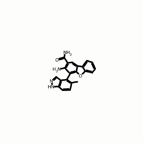 Cc1ccc2[nH]ncc2c1-c1c(N)c(C(N)=O)cc2c1oc1ccccc12